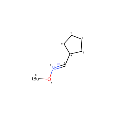 CC(C)(C)O/N=[C]/C1CCCC1